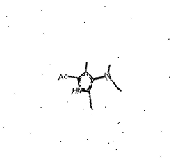 CC(=O)c1[nH]c(C)c(N(C)C)c1C